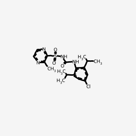 Cc1nccnc1S(=O)(=O)NC(=O)Nc1c(C(C)C)cc(Cl)cc1C(C)C